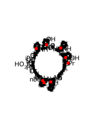 CCCC[C@H]1C(=O)N(C)CC(=O)N[C@@H](CC(=O)O)C(=O)N[C@@H](C(C)C)C(=O)N(C)[C@@H](Cc2ccccc2)C(=O)N[C@@H](Cc2ccc(O)cc2)C(=O)N(C)CC(=O)N[C@@H](Cc2c[nH]c3ccccc23)C(=O)N[C@@H](Cc2ccc(O)cc2)C(=O)N[C@@H](CC(C)C)C(=O)N[C@H](C)CSCC(=O)N[C@@H](Cc2ccc3ccccc3c2)C(=O)N(C)[C@@H](Cc2ccccc2)C(=O)N1C